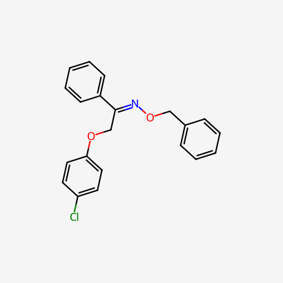 Clc1ccc(OC/C(=N\OCc2ccccc2)c2ccccc2)cc1